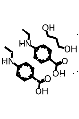 CCNc1ccc(C(=O)O)cc1.CCNc1ccc(C(=O)O)cc1.OCCCO